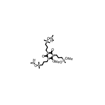 CO[Si](C)(CCCn1c(=O)n(CCC[Si](C)(C)O[SiH](C)C)c(=O)n(CCC[Si](C)(C)O[SiH](C)C)c1=O)OC